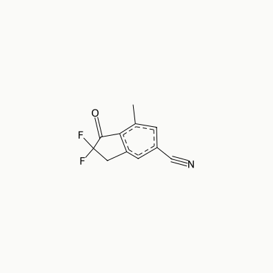 Cc1cc(C#N)cc2c1C(=O)C(F)(F)C2